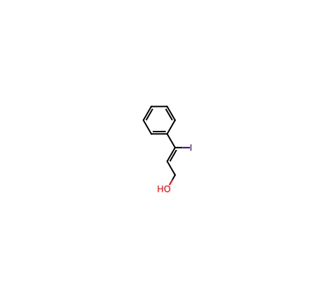 OC/C=C(\I)c1ccccc1